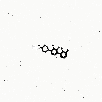 CC1CCC(c2ccc(-c3cccc(F)c3F)c(F)c2F)CC1